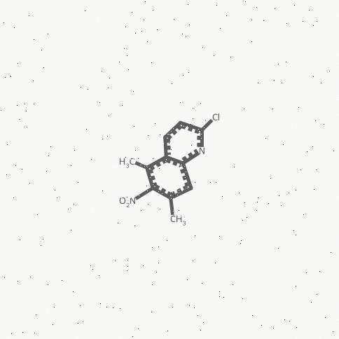 Cc1cc2nc(Cl)ccc2c(C)c1[N+](=O)[O-]